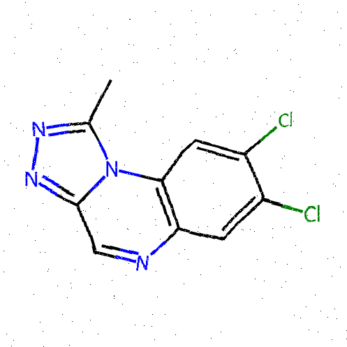 Cc1nnc2cnc3cc(Cl)c(Cl)cc3n12